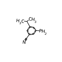 CC(C)c1cc(P)cc(C#N)c1